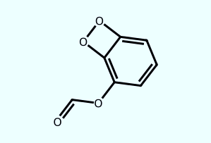 O=COc1cccc2ooc12